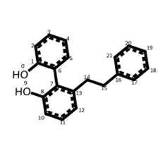 Oc1ccccc1-c1c(O)cccc1CCc1ccccc1